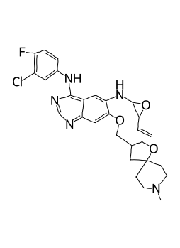 C=CC1OC1Nc1cc2c(Nc3ccc(F)c(Cl)c3)ncnc2cc1OCC1COC2(CCN(C)CC2)C1